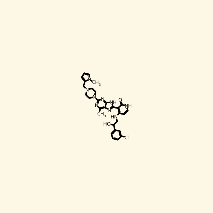 Cc1nc(N2CCN(Cc3cccn3C)CC2)nc2[nH]c(-c3c(NCC(O)c4cccc(Cl)c4)cc[nH]c3=O)nc12